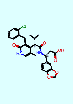 Cc1c[nH]c(=O)c(Cc2ccccc2Cl)c1[C@@H](C(=O)N[C@@H](CC(=O)O)c1ccc2c(c1)OCO2)C(C)C